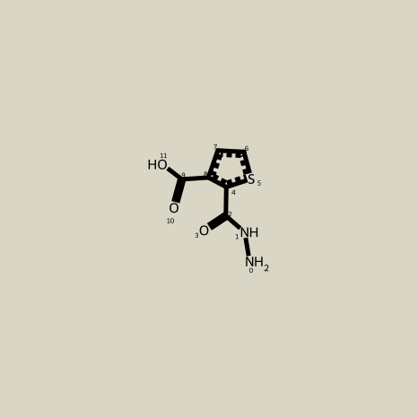 NNC(=O)c1sccc1C(=O)O